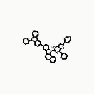 C1=C(c2ccncc2)SC2=C(c3ccccc3)N=C(n3c4ccc(-c5ccc6c(c5)c5ccccc5n6-c5ccccc5)cc4c4ccc5ccccc5c43)NC12